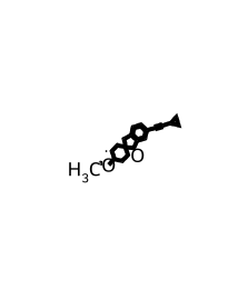 CCOC1[CH]CC2(CC1)Cc1ccc(C#CC3CC3)cc1C2=O